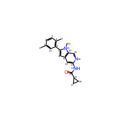 Cc1ccc(C)c(-c2cc3cc(NC(=O)C4CC4)ncc3n2C)c1